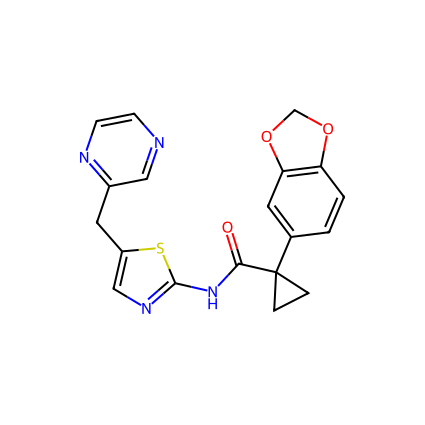 O=C(Nc1ncc(Cc2cnccn2)s1)C1(c2ccc3c(c2)OCO3)CC1